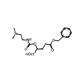 CCCCCCCCC(CCC(=O)OCc1ccccc1)OC(=O)NCCN(C)C